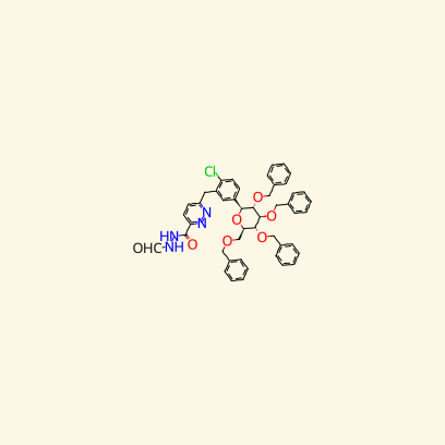 O=CNNC(=O)c1ccc(Cc2cc([C@@H]3O[C@H](COCc4ccccc4)[C@@H](OCc4ccccc4)[C@H](OCc4ccccc4)[C@H]3OCc3ccccc3)ccc2Cl)nn1